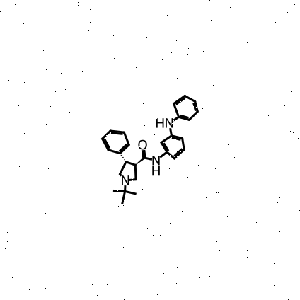 CC(C)(C)N1C[C@H](C(=O)Nc2cccc(Nc3ccccc3)c2)[C@@H](c2ccccc2)C1